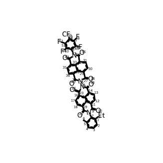 CCc1cccc(C)c1N1C(=O)c2ccc3c4c(ccc(c24)C1=O)C(=O)N(N1C(=O)c2ccc4c5c(ccc(c25)C1=O)C(=O)N(c1c(F)c(F)c(C(F)(F)F)c(F)c1F)C4=O)C3=O